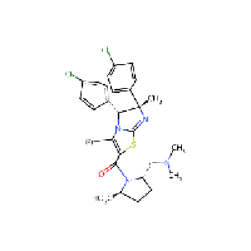 CC(C)C1=C(C(=O)N2[C@H](CN(C)C)CC[C@H]2C(=O)O)SC2=N[C@@](C)(c3ccc(Cl)cc3)[C@@H](c3ccc(Cl)cc3)N21